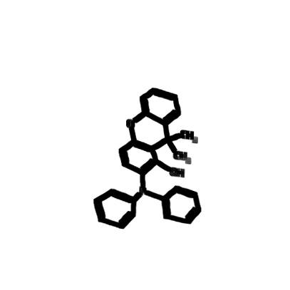 CC1(C)c2ccccc2Oc2ccc(P(c3ccccc3)c3ccccc3)c(O)c21